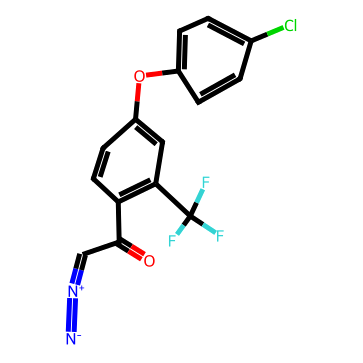 [N-]=[N+]=CC(=O)c1ccc(Oc2ccc(Cl)cc2)cc1C(F)(F)F